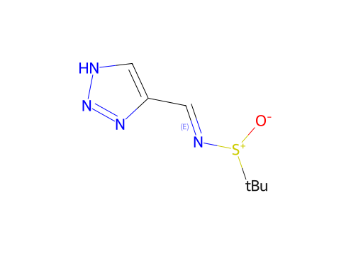 CC(C)(C)[S+]([O-])/N=C/c1c[nH]nn1